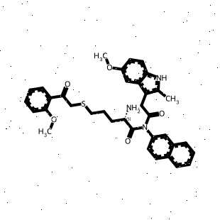 COc1ccc2[nH]c(C)c(CC(=O)N(C(=O)[C@@H](N)CCCSCC(=O)c3ccccc3OC)c3ccc4ccccc4c3)c2c1